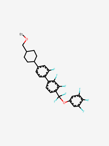 CCOCC1CCC(c2ccc(-c3ccc(C(F)(F)Oc4cc(F)c(F)c(F)c4)c(F)c3F)c(F)c2)CC1